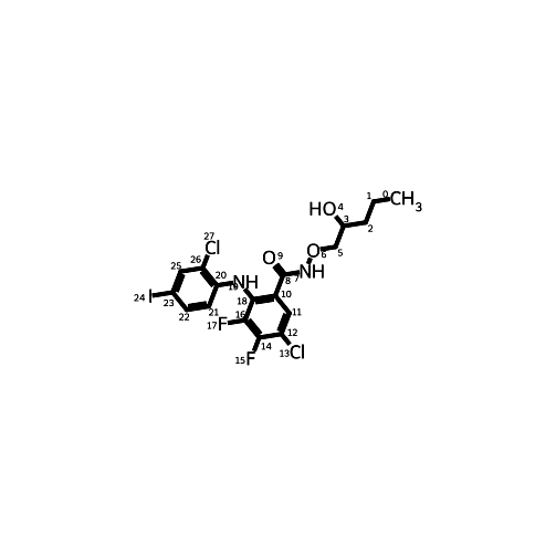 CCCC(O)CONC(=O)c1cc(Cl)c(F)c(F)c1Nc1ccc(I)cc1Cl